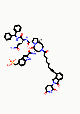 NC(=O)CC[C@H](NC(=O)[C@@H]1CC[C@@H]2CCN(C(=O)CCCCCC#Cc3cccc4c3CN(C3CCC(=O)NC3=O)C4=O)C[C@H](NC(=O)c3cc4cc(CP(=O)(O)O)ccc4[nH]3)C(=O)N21)C(=O)NC(c1ccccc1)c1ccccc1